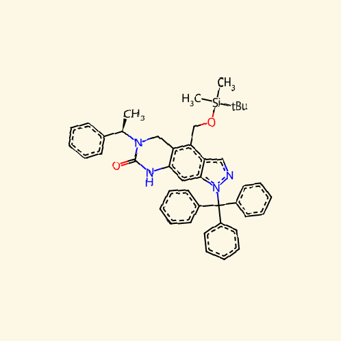 C[C@H](c1ccccc1)N1Cc2c(cc3c(cnn3C(c3ccccc3)(c3ccccc3)c3ccccc3)c2CO[Si](C)(C)C(C)(C)C)NC1=O